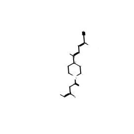 C#C/C(C)=C/C=C(\C)C1CCN(C(=O)C/C(C)=C\CC)CC1